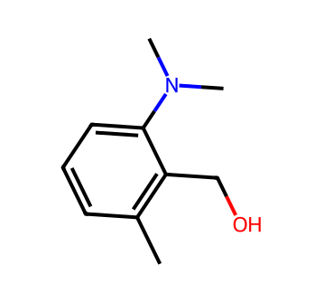 Cc1cccc(N(C)C)c1CO